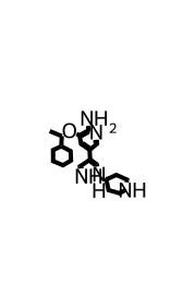 CC(Oc1cc(/C(C=N)=C/NC2CCNCC2)cnc1N)C1CCCCC1